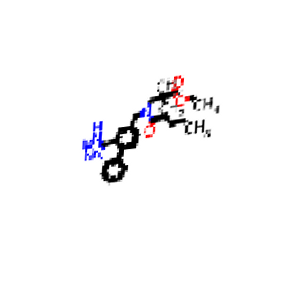 CCCCC(=O)N(Cc1ccc(-c2ccccc2)c(-c2nnn[nH]2)c1)CC(C)(C)C(=O)OCC